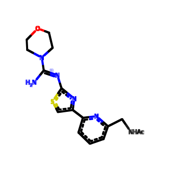 CC(=O)NCc1cccc(-c2csc(/N=C(\N)N3CCOCC3)n2)n1